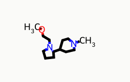 COCCN1CCCC1C1CCN(C)CC1